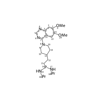 COc1cc2ncnc(N3CCC(CCP(NC(C)C)NC(C)C)CC3)c2cc1OC